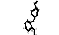 C=Cc1ccc(Cc2ccccc2C=C)cc1